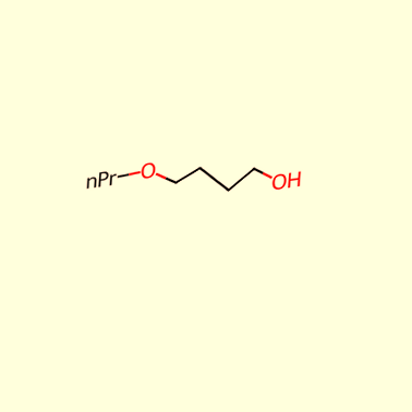 C[CH]COCCCCO